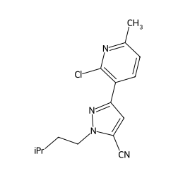 Cc1ccc(-c2cc(C#N)n(CCC(C)C)n2)c(Cl)n1